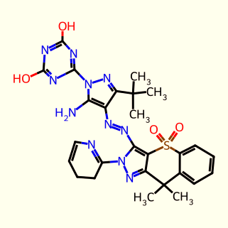 CC(C)(C)c1nn(-c2nc(O)nc(O)n2)c(N)c1N=Nc1c2c(nn1C1=NC=CCC1)C(C)(C)c1ccccc1S2(=O)=O